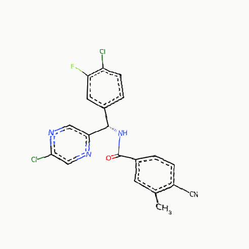 Cc1cc(C(=O)N[C@@H](c2ccc(Cl)c(F)c2)c2cnc(Cl)cn2)ccc1C#N